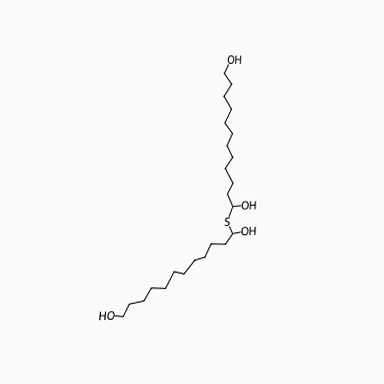 OCCCCCCCCCCCC(O)SC(O)CCCCCCCCCCCO